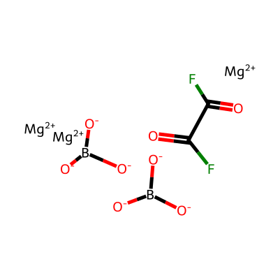 O=C(F)C(=O)F.[Mg+2].[Mg+2].[Mg+2].[O-]B([O-])[O-].[O-]B([O-])[O-]